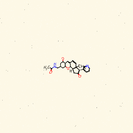 CC(=O)NCC1CC(=O)C2=C(C1)OC1C(=C2)C=C[C@]2(C)[C@@H](c3cccnc3)C(=O)C[C@@H]12